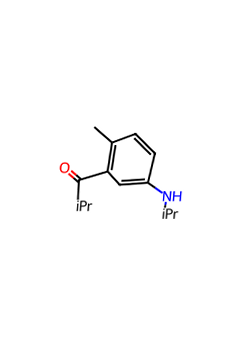 Cc1ccc(NC(C)C)cc1C(=O)C(C)C